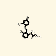 Cc1cc(Br)ccc1OCc1c(Cl)cccc1N(N)C(=O)NN